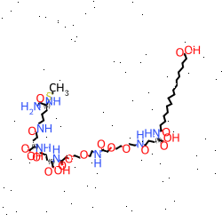 CCSN[C@@H](CCCCNC(=O)CC[C@H](NC(=O)CC[C@H](NC(=O)COCCOCCNC(=O)COCCOCCNC(=O)CC[C@H](NC(=O)CCCCCCCCCCCCCCCCC(=O)O)C(=O)O)C(=O)O)C(=O)O)C(N)=O